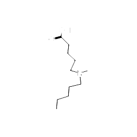 CCCCCN(C)CCCCC(=O)O